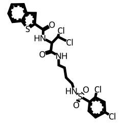 O=C(NC(C(=O)NCCCCNS(=O)(=O)c1ccc(Cl)cc1Cl)C(Cl)Cl)c1cc2ccccc2s1